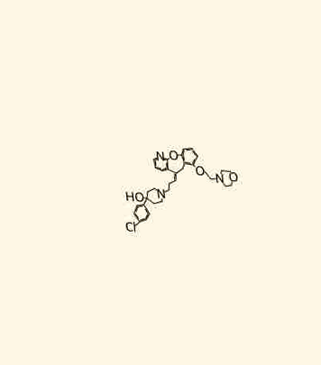 OC1(c2ccc(Cl)cc2)CCN(CC/C=C2/Cc3c(OCCN4CCOCC4)cccc3Oc3ncccc32)CC1